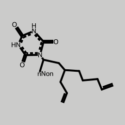 C=CCCCC(CC=C)CC(CCCCCCCCC)n1c(=O)[nH]c(=O)[nH]c1=O